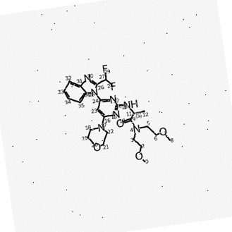 COCCN(CCOC)C(=O)[C@H](C)Nc1nc(N2CCOCC2)cc(-n2c(C(F)F)nc3ccccc32)n1